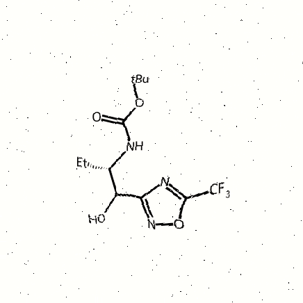 CC[C@H](NC(=O)OC(C)(C)C)C(O)c1noc(C(F)(F)F)n1